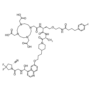 C[C@H](NC(=O)[C@H](CCOCCNC(=O)CCCc1ccc(I)cc1)NC(=O)CN1CCN(CC(=O)O)CCN(CC(=O)O)CCN(CC(=O)O)CC1)C(=O)N1CCC(CCCOc2ccc3nccc(C(O)NCC(=O)N4CC(F)(F)C[C@@H]4C#N)c3c2)CC1